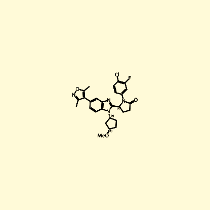 CO[C@@H]1CC[C@@H](n2c([C@@H]3CCC(=O)N3c3ccc(Cl)c(F)c3)nc3cc(-c4c(C)noc4C)ccc32)C1